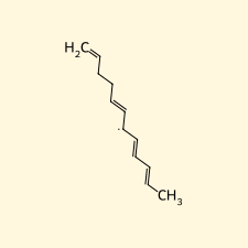 C=CCCC=C[CH]C=CC=CC